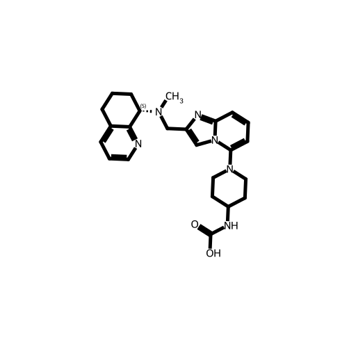 CN(Cc1cn2c(N3CCC(NC(=O)O)CC3)cccc2n1)[C@H]1CCCc2cccnc21